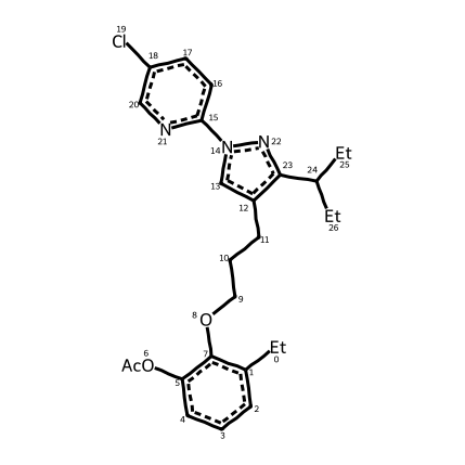 CCc1cccc(OC(C)=O)c1OCCCc1cn(-c2ccc(Cl)cn2)nc1C(CC)CC